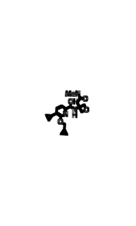 CNC(=O)CC1(NC(O)c2ccc(C3CC3)c(OCC3CC3)n2)COC1